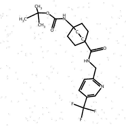 CC(C)(C)OC(=O)NC12CCC(C(=O)NCc3ccc(C(F)(F)F)cn3)(CC1)CC2